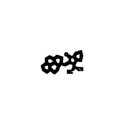 N#CC(C#N)=C1/C(=C/c2ccc3ccc4cccc5ccc2c3c45)C(=O)c2ccccc21